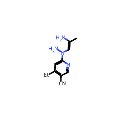 CCc1cc(N(N)/C=C(/C)N)ncc1C#N